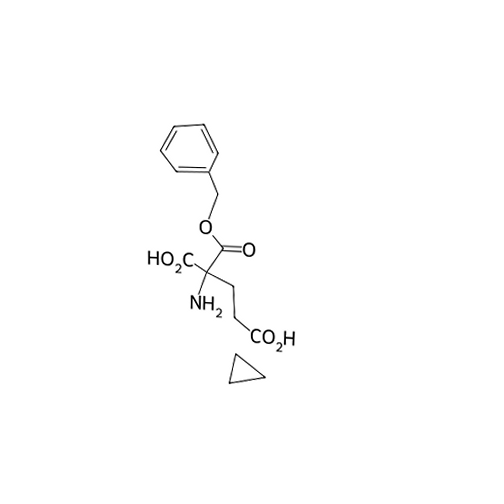 C1CC1.NC(CCC(=O)O)(C(=O)O)C(=O)OCc1ccccc1